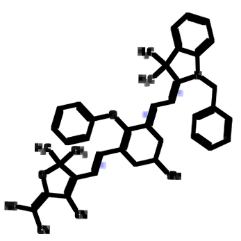 CC1(C)OC(=C(C#N)C#N)C(C#N)=C1/C=C/C1=C(Oc2ccccc2)C(=C/C=C2/N(Cc3ccccc3)c3ccccc3C2(C)C)/CC(C(C)(C)C)C1